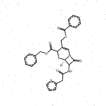 O=C(Cc1cccs1)NC1C(=O)N2C=C(CSC(=O)c3ccccc3)C(C(=O)OCc3ccccc3)S[C@H]12